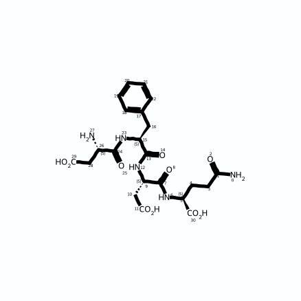 NC(=O)CC[C@H](NC(=O)[C@H](CC(=O)O)NC(=O)[C@H](Cc1ccccc1)NC(=O)[C@@H](N)CC(=O)O)C(=O)O